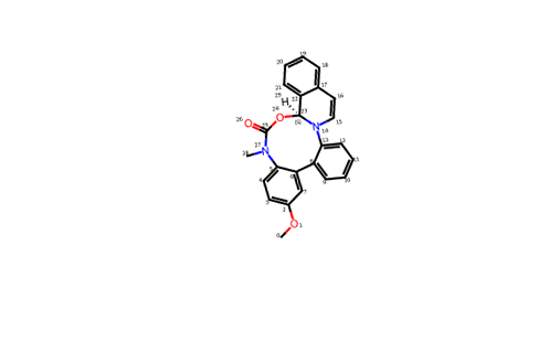 COc1ccc2c(c1)-c1ccccc1N1C=Cc3ccccc3[C@@H]1OC(=O)N2C